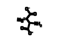 NC(CC(=O)[O-])C(=O)[O-].[Mg+2]